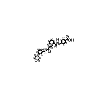 O=C(O)c1ccc(CNC(=O)c2cccc3nc(C(=O)NCc4cccc(N5CCOCC5)c4)cn23)cc1